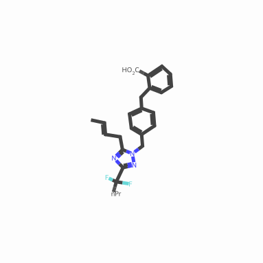 CC=CCc1nc(C(F)(F)CCC)nn1Cc1ccc(Cc2ccccc2C(=O)O)cc1